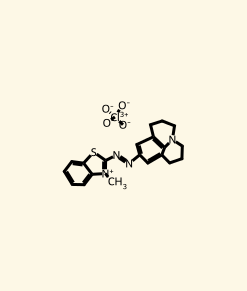 C[n+]1c(N=Nc2cc3c4c(c2)CCCN4CCC3)sc2ccccc21.[O-][Cl+3]([O-])([O-])[O-]